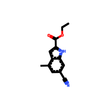 CCOC(=O)c1cc2c(C)cc(C#N)cc2[nH]1